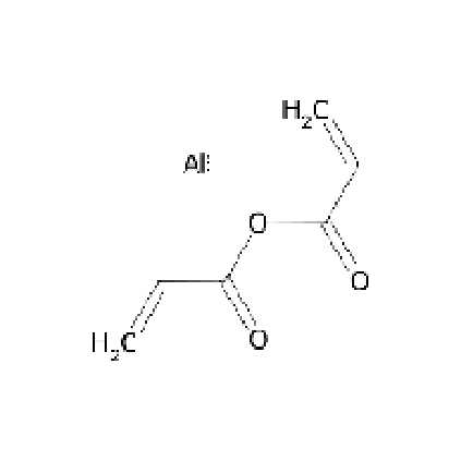 C=CC(=O)OC(=O)C=C.[Al]